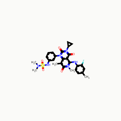 Cc1ccc(Nc2c3c(=O)n(C4CC4)c(=O)n(-c4cccc(NS(=O)(=O)N(C)C)c4)c3c(C)c(=O)n2C)c(F)c1